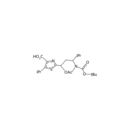 CC(=O)OC(CC(C(C)C)N(C)C(=O)OC(C)(C)C)c1nc(C(=O)O)c(C(C)C)s1